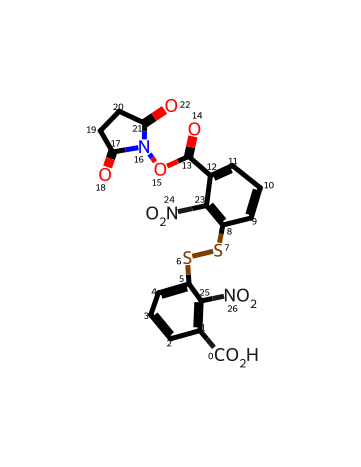 O=C(O)c1cccc(SSc2cccc(C(=O)ON3C(=O)CCC3=O)c2[N+](=O)[O-])c1[N+](=O)[O-]